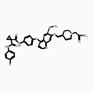 COc1cc2c(Oc3ccc(NC(=O)C4(C(=O)Nc5ccc(F)cc5)CC4)cc3)ccnc2cc1OCC1CCN(CC(N)=O)CC1